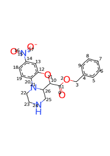 O=C(OCc1ccccc1)C1Oc2cc([N+](=O)[O-])ccc2N2CCNCC12